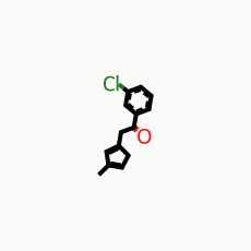 CC1=CCC(CC(=O)c2cccc(Cl)c2)=C1